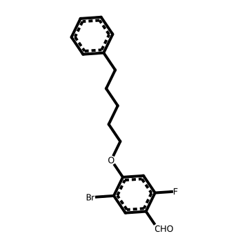 O=Cc1cc(Br)c(OCCCCCc2ccccc2)cc1F